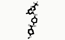 COc1ccc(C(=O)NC2CCC(Nc3cc(C)cc4nc(C(F)(F)F)cn34)CC2)cc1